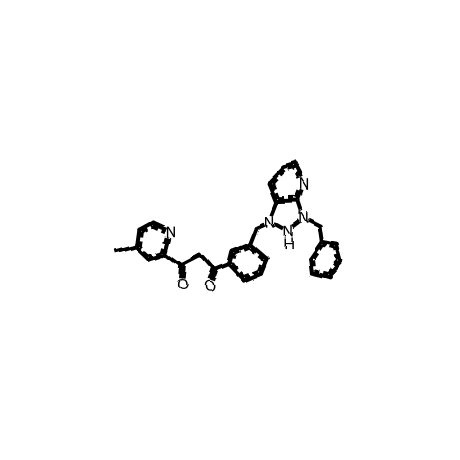 Cc1ccnc(C(=O)CC(=O)c2cccc(CN3NN(Cc4ccccc4)c4ncccc43)c2)c1